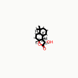 CC1(C)CCC[C@@]2(C)[C@H]1CC[C@@]1(C)OC(=O)[C@@H](O)[C@@H]21